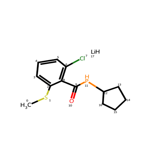 CSc1cccc(Cl)c1C(=O)P[C]1CCCC1.[LiH]